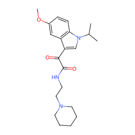 COc1ccc2c(c1)c(C(=O)C(=O)NCCN1CCCCC1)cn2C(C)C